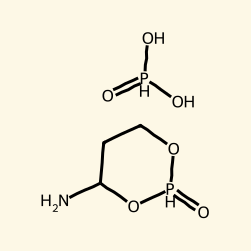 NC1CCO[PH](=O)O1.O=[PH](O)O